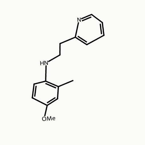 COc1ccc(NCCc2ccccn2)c(C)c1